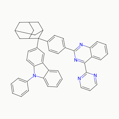 c1ccc(-n2c3ccccc3c3cc(C4(c5ccc(-c6nc(-c7ncccn7)c7ccccc7n6)cc5)C5CC6CC(C5)CC4C6)ccc32)cc1